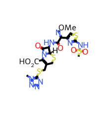 CON=C(C(=O)NC1C(=O)N2C(C(=O)O)=C(CSc3nnnn3C)CS[C@@H]12)c1csc(NS(C)(=O)=O)n1